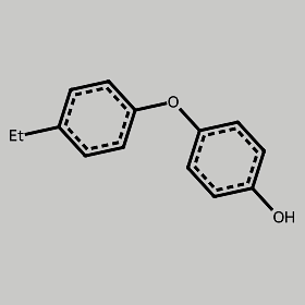 CCc1ccc(Oc2ccc(O)cc2)cc1